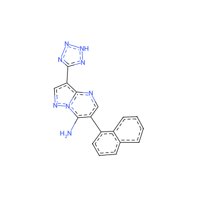 Nc1c(-c2cccc3ccccc23)cnc2c(-c3nn[nH]n3)cnn12